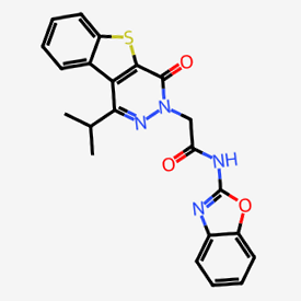 CC(C)c1nn(CC(=O)Nc2nc3ccccc3o2)c(=O)c2sc3ccccc3c12